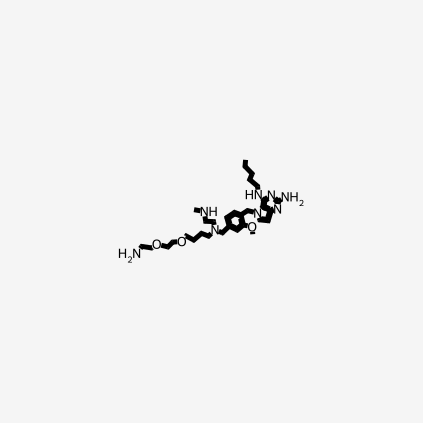 CCCCCNc1nc(N)nc2ccn(Cc3ccc(CN(CCCCOCCOCCN)CCNC)cc3OC)c12